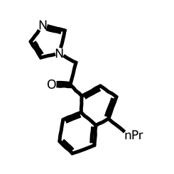 CCCc1ccc(C(=O)Cn2ccnc2)c2ccccc12